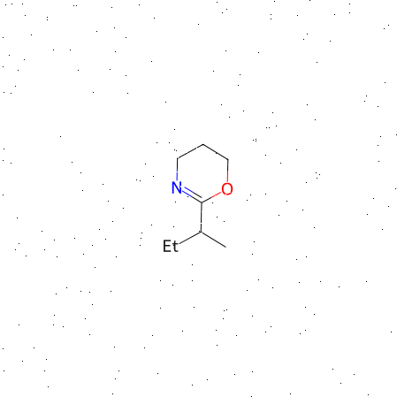 CCC(C)C1=NCCCO1